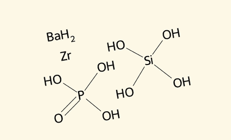 O=P(O)(O)O.O[Si](O)(O)O.[BaH2].[Zr]